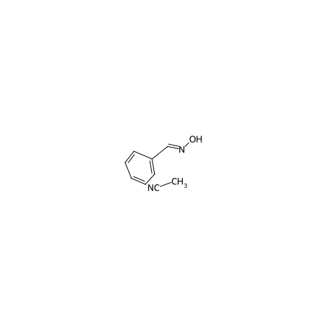 CC#N.ON=Cc1ccccc1